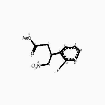 COC(=O)CC(C[N+](=O)[O-])c1cccnc1F